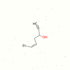 C#CC(O)C/C=C\CC